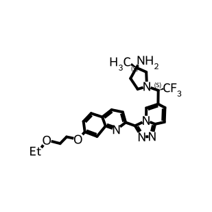 CCOCCOc1ccc2ccc(-c3nnc4ccc([C@H](N5CC[C@](C)(N)C5)C(F)(F)F)cn34)nc2c1